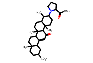 COC(=O)C1CCCN1C1CCC2(C)C(CCC3(C)C4CCC5(C)CCC(C(=O)O)CC5C4=CC(=O)C32)C1C